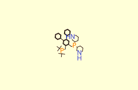 CC(C)(C)P(Cc1cc(-c2ccccc2)c(-c2ccccc2)cc1CP(C1CCCNC1)C1CCCNC1)C(C)(C)C